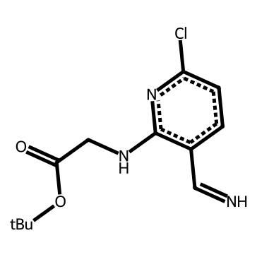 CC(C)(C)OC(=O)CNc1nc(Cl)ccc1C=N